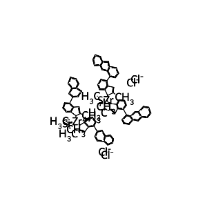 CC1=Cc2c(-c3ccc4ccccc4c3)cccc2[CH]1[Zr+4]([CH]1C(C)=Cc2c(-c3ccc4ccccc4c3)cccc21)=[Si](C)C.CC1=Cc2c(-c3cccc4cc5ccccc5cc34)cccc2[CH]1[Zr]([CH]1C(C)=Cc2c(-c3cccc4cc5ccccc5cc34)cccc21)=[Si](C)C.[Cl-].[Cl-].[Cl-].[Cl-]